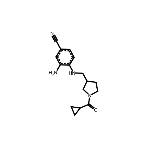 N#Cc1ccc(NCC2CCN(C(=O)C3CC3)C2)c(N)c1